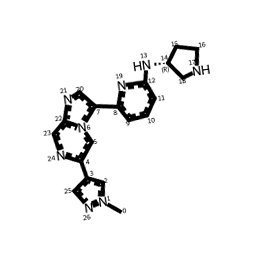 Cn1cc(-c2cn3c(-c4cccc(N[C@@H]5CCNC5)n4)cnc3cn2)cn1